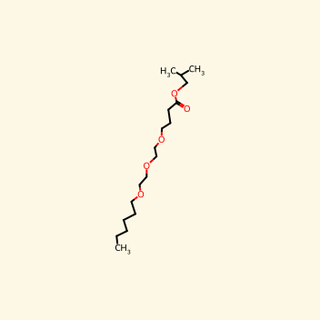 CCCCCCOCCOCCOCCCC(=O)OCC(C)C